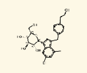 Cc1cc(Cl)cc2c1c(Cc1ccc(CCO)cc1)cn2[C@@H]1O[C@H](CO)[C@@H](O)[C@H](O)[C@H]1O